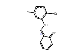 Cc1ccc(N=O)c(N/N=C2/C=CC=CC2=N)c1